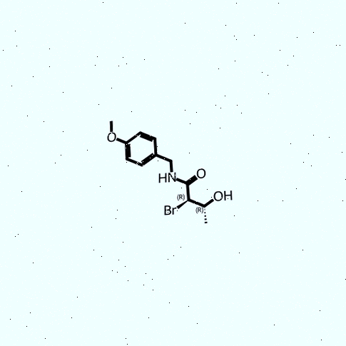 COc1ccc(CNC(=O)[C@H](Br)[C@@H](C)O)cc1